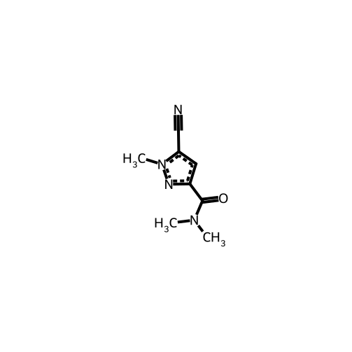 CN(C)C(=O)c1cc(C#N)n(C)n1